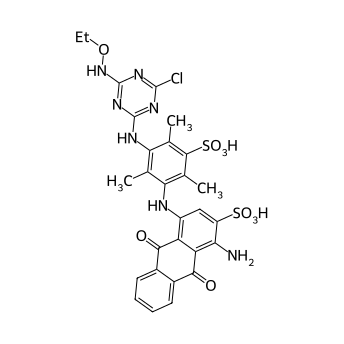 CCONc1nc(Cl)nc(Nc2c(C)c(Nc3cc(S(=O)(=O)O)c(N)c4c3C(=O)c3ccccc3C4=O)c(C)c(S(=O)(=O)O)c2C)n1